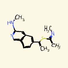 C=C(S/C(C)=N\C)c1ccc2cnc(NC)cc2c1